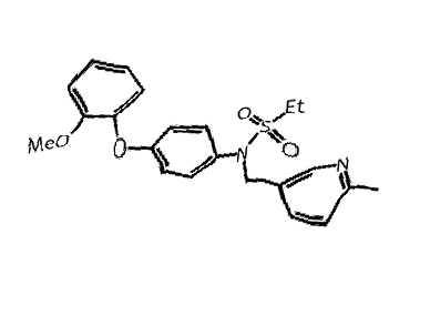 CCS(=O)(=O)N(Cc1ccc(C)nc1)c1ccc(Oc2ccccc2OC)cc1